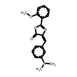 COc1ccccc1C1=NC(=Cc2cccc(N(C)C)c2)C(=O)O1